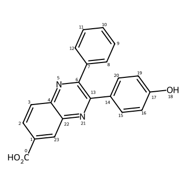 O=C(O)c1ccc2nc(-c3ccccc3)c(-c3ccc(O)cc3)nc2c1